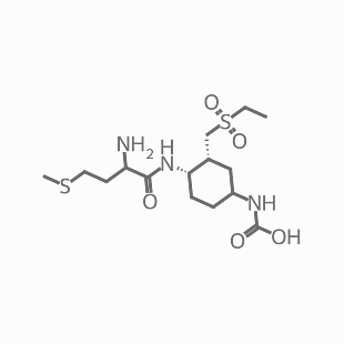 CCS(=O)(=O)C[C@@H]1CC(NC(=O)O)CC[C@@H]1NC(=O)C(N)CCSC